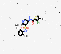 COc1ncc(NC(=O)c2scc(C)c2Cl)cc1S(=O)(=O)Nc1c(C)cccc1C